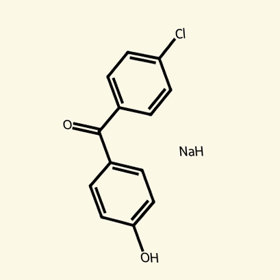 O=C(c1ccc(O)cc1)c1ccc(Cl)cc1.[NaH]